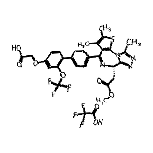 COC(=O)C[C@@H]1N=C(c2ccc(-c3ccc(OCC(=O)O)cc3OC(F)(F)F)cc2)c2c(sc(C)c2C)-n2c(C)nnc21.O=C(O)C(F)(F)F